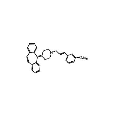 COc1cccc(C=CCN2CCC(=C3c4ccccc4C=Cc4ccccc43)CC2)c1